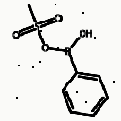 CS(=O)(=O)OB(O)c1ccccc1